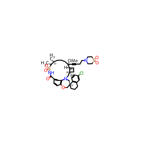 CO[C@@]1(C#CCCN2CCS(=O)(=O)CC2)CCC[C@H](C)[C@@H](C)S(=O)(=O)NC(=O)c2ccc3c(c2)N(C[C@@H]2CC[C@H]21)C[C@@]1(CCCc2cc(Cl)ccc21)CO3